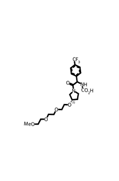 COCCOCCOCCO[C@H]1CCN(C(=O)C(NC(=O)O)c2ccc(C(F)(F)F)cc2)C1